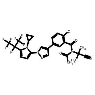 CC(=O)N(C(=O)c1cc(-c2cnn(-c3ccc(C(F)(C(F)(F)F)C(F)(F)F)n3C3CC3)c2)ccc1Cl)C(C)(C)C#N